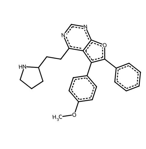 COc1ccc(-c2c(-c3ccccc3)oc3ncnc(CCC4CCCN4)c23)cc1